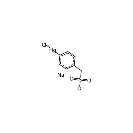 O=S(=O)([O-])Cc1cc[c]([Hg][Cl])cc1.[Na+]